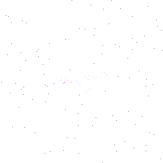 Cc1cc(-c2csc(C(=O)N3CC[C@@H](C(=O)N4CCC(O)(Cn5cnc6c(ccn6C)c5=O)CC4)[C@H](c4ccccc4)C3)c2)ccn1